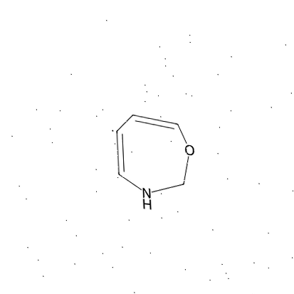 [C]1=CNCOC=C1